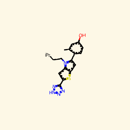 Cc1cc(O)ccc1-c1cc2sc(-c3nn[nH]n3)cc2n1CCC(C)C